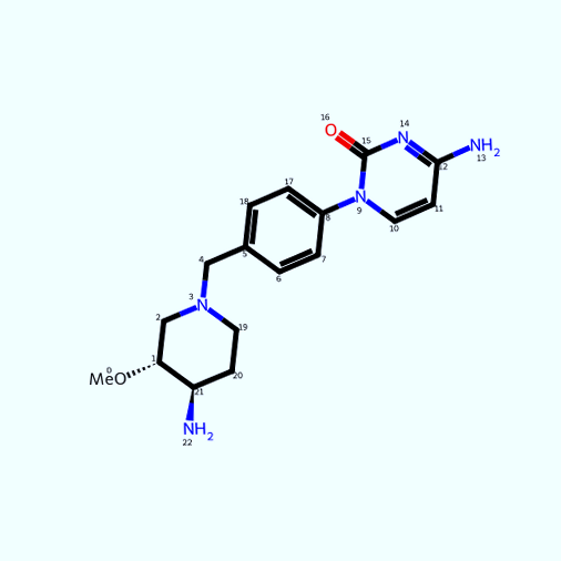 CO[C@@H]1CN(Cc2ccc(-n3ccc(N)nc3=O)cc2)CC[C@H]1N